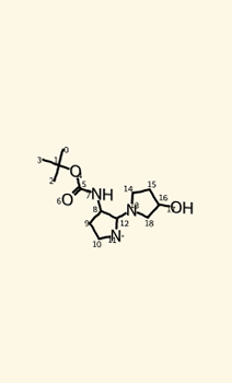 CC(C)(C)OC(=O)NC1CC[N]C1N1CCC(O)C1